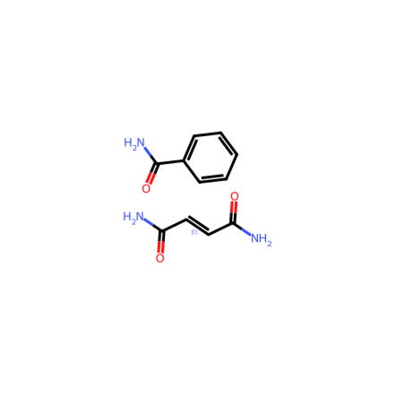 NC(=O)/C=C/C(N)=O.NC(=O)c1ccccc1